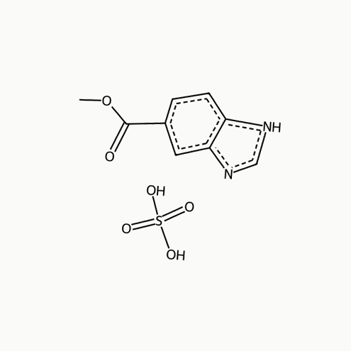 COC(=O)c1ccc2[nH]cnc2c1.O=S(=O)(O)O